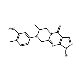 COc1cc(N2Cc3nc4c(cnn4C(C)C)c(=O)n3CC2C)ccc1F